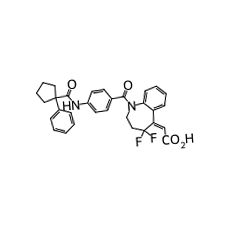 O=C(O)/C=C1/c2ccccc2N(C(=O)c2ccc(NC(=O)C3(c4ccccc4)CCCC3)cc2)CCC1(F)F